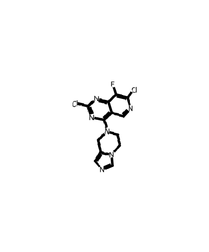 Fc1c(Cl)ncc2c(N3CCn4cncc4C3)nc(Cl)nc12